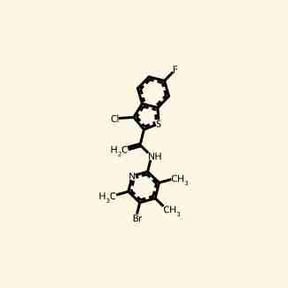 C=C(Nc1nc(C)c(Br)c(C)c1C)c1sc2cc(F)ccc2c1Cl